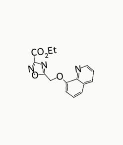 CCOC(=O)c1noc(COc2cccc3cccnc23)n1